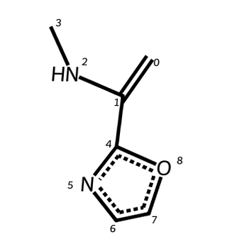 C=C(NC)c1ncco1